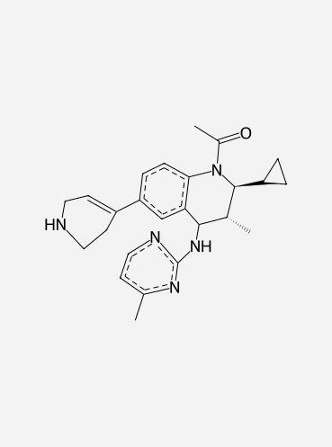 CC(=O)N1c2ccc(C3=CCNCC3)cc2C(Nc2nccc(C)n2)[C@@H](C)[C@@H]1C1CC1